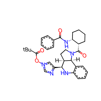 CC(C)(C)C(=O)On1cnc([C@@H]2Nc3ccccc3[C@H]3[C@@H]2CCN3C(=O)[C@H]2CCCC[C@H]2NC(=O)c2ccccc2)c1